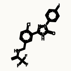 C=C(NCc1ccc(Cl)c(-c2nn(-c3ccc(I)cc3)c(=O)[nH]2)c1)C(F)(F)F